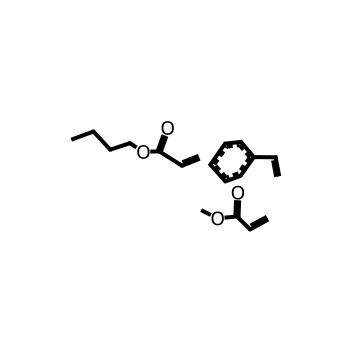 C=CC(=O)OC.C=CC(=O)OCCCC.C=Cc1ccccc1